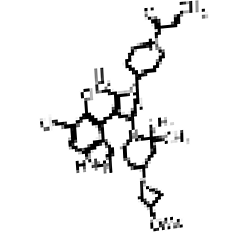 C=CC(=O)N1CCC(n2nc(N3CCC(N4CC(OC)C4)CC3(C)C)c(-c3c(Cl)c(Cl)cc4[nH]ncc34)c2C)CC1